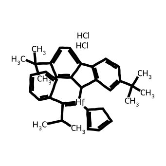 CC(C)/[C](c1ccccc1)=[Hf](\[C]1=CC=CC1)[CH]1c2cc(C(C)(C)C)ccc2-c2ccc(C(C)(C)C)cc21.Cl.Cl